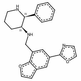 c1ccc([C@@H]2NCCC[C@@H]2NCc2cc(-c3ncco3)cc3ccoc23)cc1